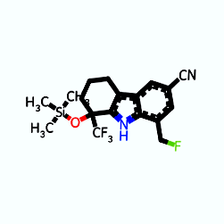 C[Si](C)(C)OC1(C(F)(F)F)CCCc2c1[nH]c1c(CF)cc(C#N)cc21